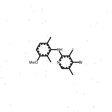 COc1ccc(C)c(Nc2ncc(C)c(Br)c2I)c1C